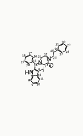 O=C1[C@H](Cc2c[nH]c3ccccc23)N(Cc2ccccc2)CCN1CCc1ccccc1